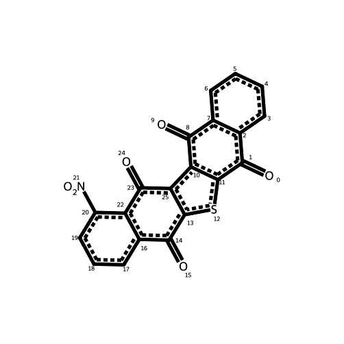 O=c1c2ccccc2c(=O)c2c1sc1c(=O)c3cccc([N+](=O)[O-])c3c(=O)c12